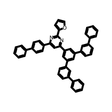 c1ccc(-c2ccc(-c3cc(-c4cc(-c5cccc(-c6ccccc6)c5)cc(-c5cccc(-c6ccccc6)c5)c4)nc(-c4ccco4)n3)cc2)cc1